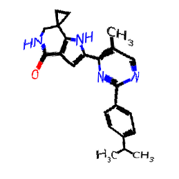 Cc1cnc(-c2ccc(C(C)C)cc2)nc1-c1cc2c([nH]1)C1(CC1)CNC2=O